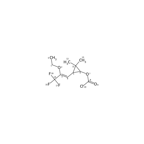 CCOC(=CC1C(OC(=O)Cl)C1(C)C)C(F)(F)F